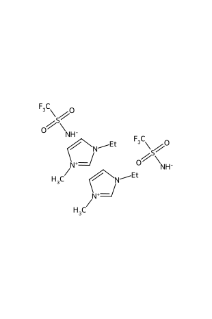 CCn1cc[n+](C)c1.CCn1cc[n+](C)c1.[NH-]S(=O)(=O)C(F)(F)F.[NH-]S(=O)(=O)C(F)(F)F